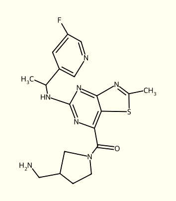 Cc1nc2nc(NC(C)c3cncc(F)c3)nc(C(=O)N3CCC(CN)C3)c2s1